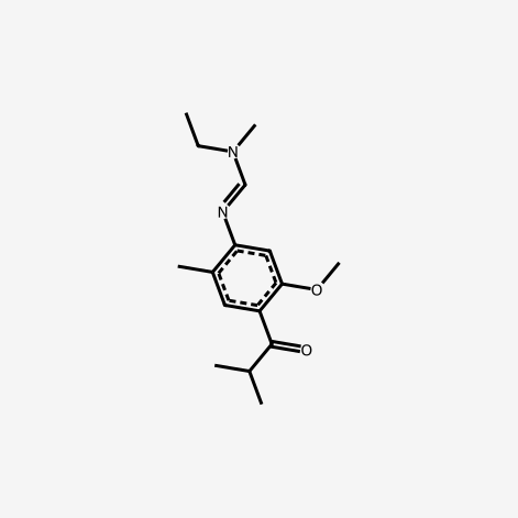 CCN(C)/C=N/c1cc(OC)c(C(=O)C(C)C)cc1C